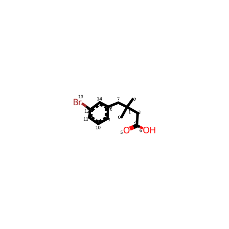 CC(C)(CC(=O)O)Cc1cccc(Br)c1